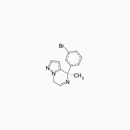 C[C@]1(c2cccc(Br)c2)N=CCn2nccc21